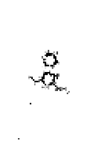 CCc1ccnc(N)n1.c1ccncc1